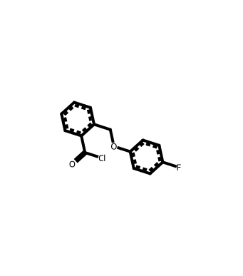 O=C(Cl)c1ccccc1COc1ccc(F)cc1